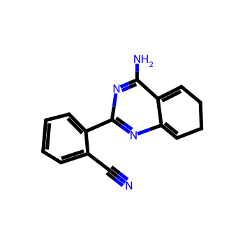 N#Cc1ccccc1-c1nc(N)c2c(n1)=CCCC=2